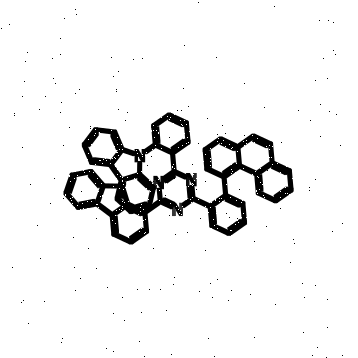 c1ccc2c(c1)Cc1c(-c3nc(-c4ccccc4-c4cccc5ccc6ccccc6c45)nc(-c4ccccc4-n4c5ccccc5c5ccccc54)n3)cccc1-2